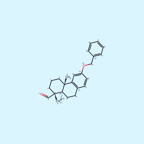 C[C@@]1(C=O)CCC[C@]2(C)c3cc(OCc4ccccc4)ccc3CC[C@@H]12